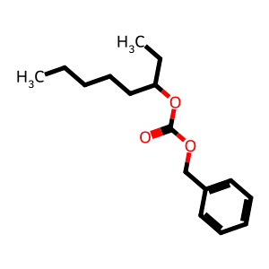 CCCCCC(CC)OC(=O)OCc1ccccc1